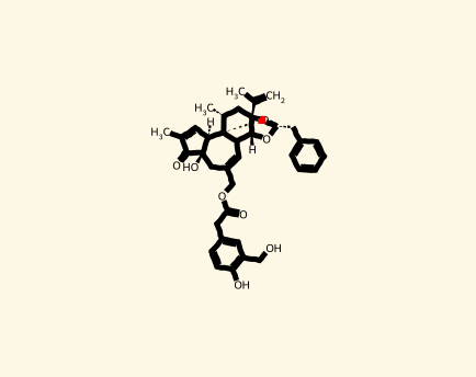 C=C(C)[C@]12C[C@@H](C)[C@@]34O[C@](Cc5ccccc5)(O[C@@H]1C3C=C(COC(=O)Cc1ccc(O)c(CO)c1)C[C@]1(O)C(=O)C(C)=C[C@@H]41)O2